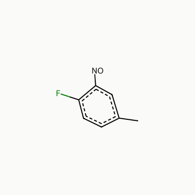 Cc1ccc(F)c(N=O)c1